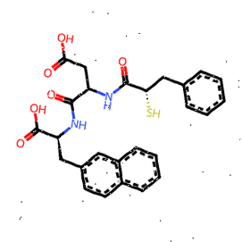 O=C(O)CC(NC(=O)[C@@H](S)Cc1ccccc1)C(=O)N[C@@H](Cc1ccc2ccccc2c1)C(=O)O